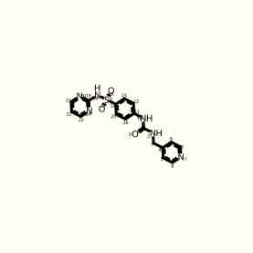 O=C(NCc1ccncc1)Nc1ccc(S(=O)(=O)Nc2ncccn2)cc1